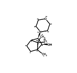 CC1(C)C2CCC1(C)[C@H](O)[C@@H]2N1CCOCC1